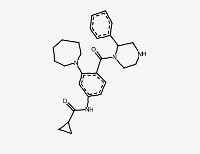 O=C(Nc1ccc(C(=O)N2CCNCC2c2ccccc2)c(N2CCCCCC2)c1)C1CC1